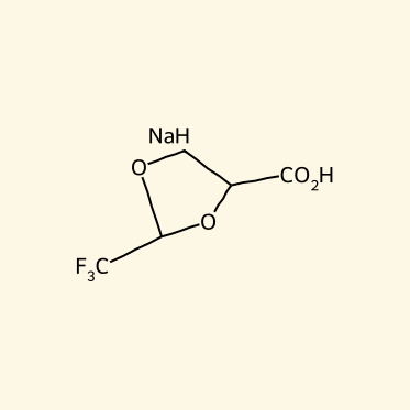 O=C(O)C1COC(C(F)(F)F)O1.[NaH]